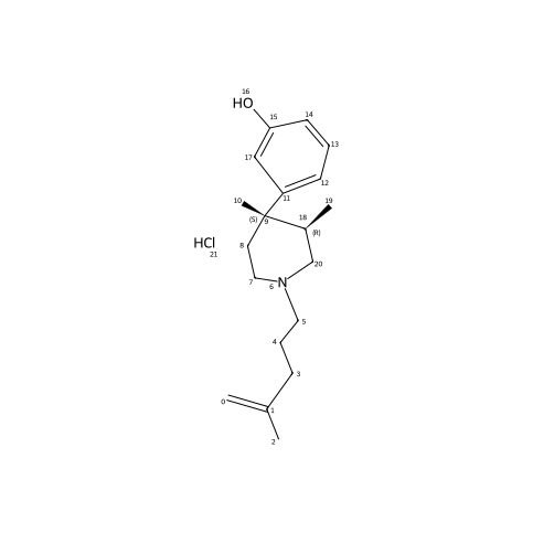 C=C(C)CCCN1CC[C@](C)(c2cccc(O)c2)[C@@H](C)C1.Cl